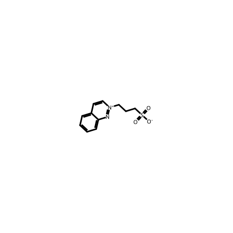 O=S(=O)([O-])CCC[n+]1ccc2ccccc2n1